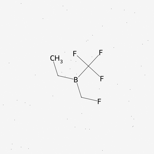 CCB(CF)C(F)(F)F